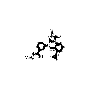 CC/C(=N\OC)c1cccc(OCc2c(C3CC3)cccc2-n2nnn(C)c2=O)c1